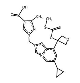 CSC(=S)OC1(c2cc(C3CC3)cn3cc(Cn4cc(C(=O)O)c(C)n4)nc23)COC1